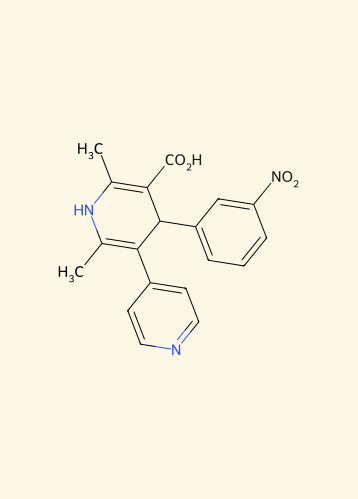 CC1=C(C(=O)O)C(c2cccc([N+](=O)[O-])c2)C(c2ccncc2)=C(C)N1